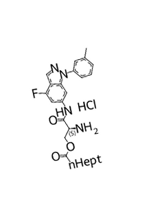 CCCCCCCC(=O)OC[C@H](N)C(=O)Nc1cc(F)c2cnn(-c3cccc(C)c3)c2c1.Cl